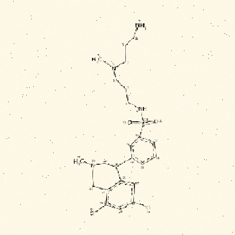 CN(CCCN)CCCNS(=O)(=O)c1cccc(C2CN(C)Cc3c(Cl)cc(Cl)cc32)c1